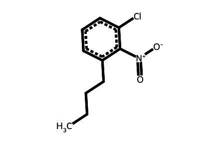 CCCCc1cccc(Cl)c1[N+](=O)[O-]